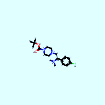 CN(C)[C@@H](CN1CCN(C(=O)OC(C)(C)C)CC1)c1ccc(Cl)cc1